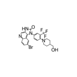 O=c1[nH]c2cnc3ccc(Br)cc3c2n1-c1ccc(N2CCC(CO)CC2)c(C(F)(F)F)c1